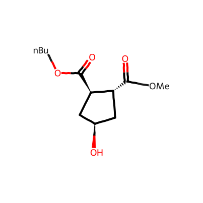 CCCCOC(=O)[C@@H]1C[C@H](O)C[C@H]1C(=O)OC